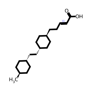 C[C@H]1CC[C@H](CC[C@H]2CC[C@H](CC/C=C/C(=O)O)CC2)CC1